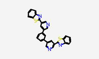 c1cc(-c2cncc(-c3nc4ccccc4s3)c2)cc(-c2cncc(-c3nc4ccccc4s3)c2)c1